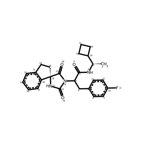 C[C@H](NC(=O)C(Cc1ccc(F)cc1)N1C(=O)N[C@]2(CCc3ccccc32)C1=O)C1CCC1